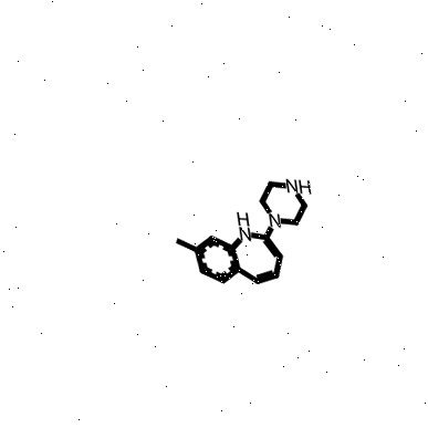 Cc1ccc2c(c1)NC(N1CCNCC1)=CC=C2